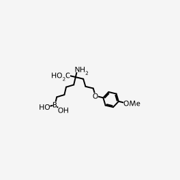 COc1ccc(OCCCC(N)(CCCCB(O)O)C(=O)O)cc1